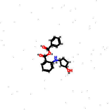 O=C(OC(=O)c1ccccc1NC1CCC(O)C1)c1ccccc1